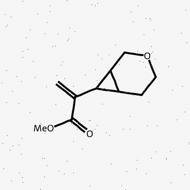 C=C(C(=O)OC)C1C2CCOCC21